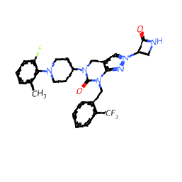 Cc1cccc(F)c1N1CCC(N2Cc3cn(C4CNC4=O)nc3N(Cc3ccccc3C(F)(F)F)C2=O)CC1